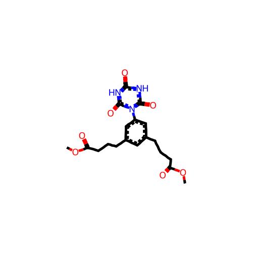 COC(=O)CCCc1cc(CCCC(=O)OC)cc(-n2c(=O)[nH]c(=O)[nH]c2=O)c1